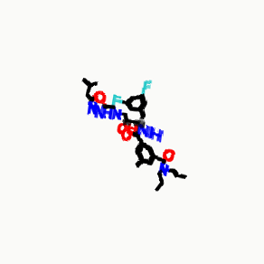 CCCN(CCC)C(=O)c1cc(C)cc(C(=O)N[C@@H](Cc2cc(F)cc(F)c2)[C@H](O)CNCc2nnc(CC(C)C)o2)c1